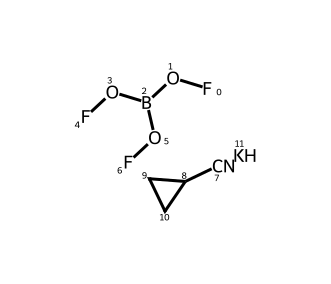 FOB(OF)OF.N#CC1CC1.[KH]